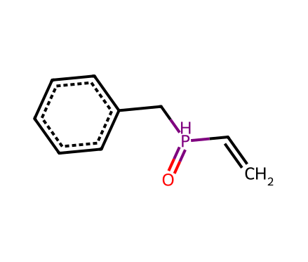 C=C[PH](=O)Cc1ccccc1